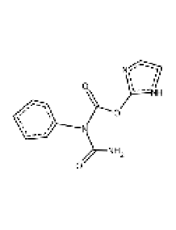 NC(=O)N(C(=O)Oc1ncc[nH]1)c1ccccc1